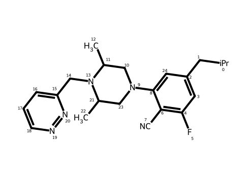 CC(C)Cc1cc(F)c(C#N)c(N2CC(C)N(Cc3cccnn3)C(C)C2)c1